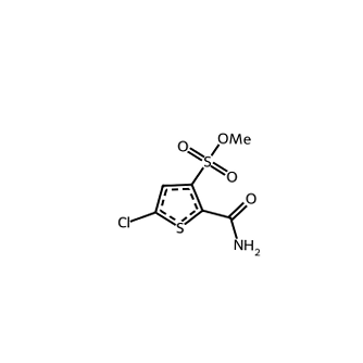 COS(=O)(=O)c1cc(Cl)sc1C(N)=O